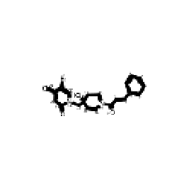 O=C(CCc1ccccc1)N1CCC(O)(Cn2cc(Br)c(Cl)cc2=O)CC1